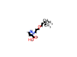 C[Si](C)(C)CCOCCCn1nccc1C(=O)O